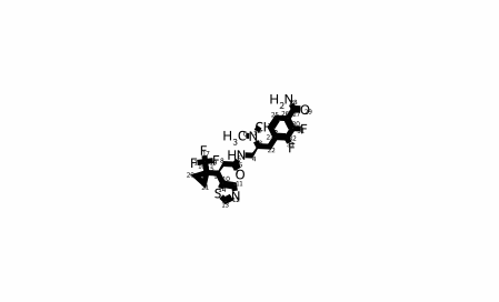 CN(C)[C@H](CNC(=O)C[C@@H](c1cncs1)C1(C(F)(F)F)CC1)Cc1ccc(C(N)=O)c(F)c1F